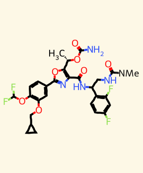 CNC(=O)NCC(NC(=O)c1nc(-c2ccc(OC(F)F)c(OCC3CC3)c2)oc1[C@H](C)OC(N)=O)c1ccc(F)cc1F